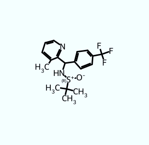 Cc1cccnc1C(N[S@@+]([O-])C(C)(C)C)c1ccc(C(F)(F)F)cc1